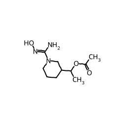 CC(=O)OC(C)C1CCCN(C(N)=NO)C1